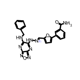 NC(=O)c1cccc(-c2ccc(/C=N/Nc3nc4nonc4nc3NCc3ccccc3)o2)c1